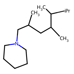 CC(CC(C)C(C)C(C)C)CN1CCCCC1